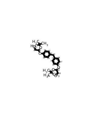 CC(C)(C)OC(C=O)Oc1ccc(Cc2ccc(OC(C=O)OC(C)(C)C)cc2)cc1